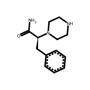 NC(=O)[C@H](Cc1ccccc1)N1CCNCC1